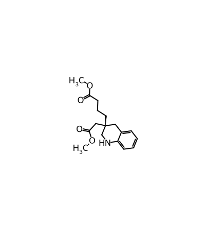 COC(=O)CCC[C@]1(CC(=O)OC)CNc2ccccc2C1